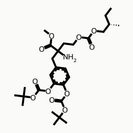 CC[C@H](C)COC(=O)OCCC(N)(Cc1ccc(OC(=O)OC(C)(C)C)c(OC(=O)OC(C)(C)C)c1)C(=O)OC